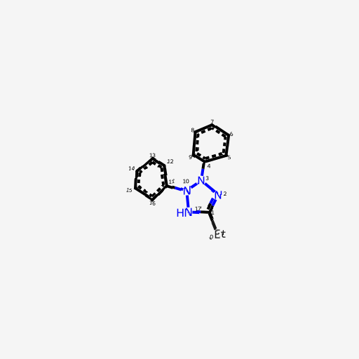 CCC1=NN(c2ccccc2)N(c2ccccc2)N1